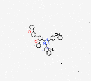 C/C=C(\C=C/c1ccccc1)c1nc(C2=CCC(C)(c3ccccc3)C=C2)nc(-c2ccc(-c3ccc4oc5ccccc5c4c3)c3oc4ccccc4c23)n1